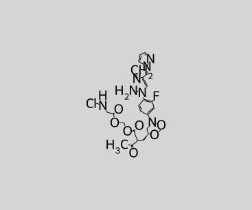 C=N/C(=C\N(N)c1ccc(N2C[C@H](CC(C(C)=O)C(=O)OCOC(=O)CNCl)OCO2)cc1F)Cn1cccn1